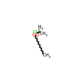 CCCCCCCCCCCCC(=O)OC(Cl)C(C)C